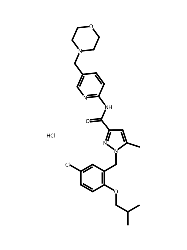 Cc1cc(C(=O)Nc2ccc(CN3CCOCC3)cn2)nn1Cc1cc(Cl)ccc1OCC(C)C.Cl